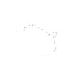 CCCCCCCCCCCOC(=O)C(C)(C)CCCCN1C[C@@H](O)C[C@H]1C(=O)OCCCCCCC(C)(C)C(=O)OC(CCCCCC)CCCCCCCC